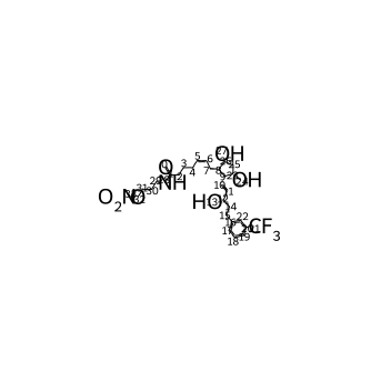 O=C(CCC/C=C\C[C@@H]1[C@@H](/C=C/[C@@H](O)CCc2cccc(C(F)(F)F)c2)[C@H](O)C[C@@H]1O)NCCCO[N+](=O)[O-]